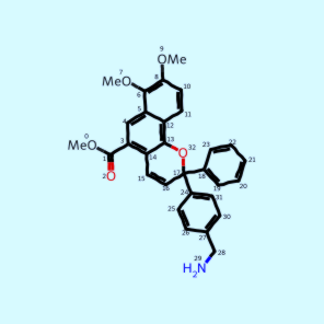 COC(=O)c1cc2c(OC)c(OC)ccc2c2c1C=CC(c1ccccc1)(c1ccc(CN)cc1)O2